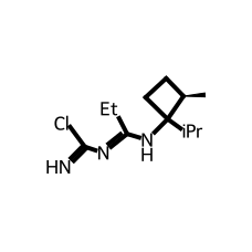 CC/C(=N\C(=N)Cl)NC1(C(C)C)CC[C@H]1C